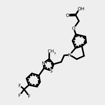 Cc1nc(-c2ccc(C(F)(F)F)cc2)sc1CCN1CCc2ccc(OCC(=O)O)cc21